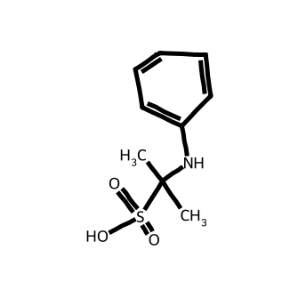 CC(C)(Nc1cc[c]cc1)S(=O)(=O)O